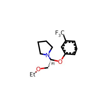 CCOC[C@@H](Oc1cccc(C(F)(F)F)c1)N1CCCC1